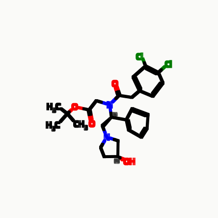 CC(C)(C)OC(=O)CN(C(=O)Cc1ccc(Cl)c(Cl)c1)[C@H](CN1CC[C@H](O)C1)c1ccccc1